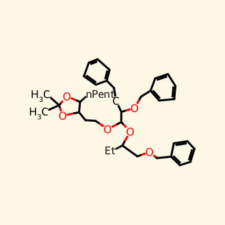 CCCCCC1OC(C)(C)OC1CCOC(OC(CC)COCc1ccccc1)C(CCc1ccccc1)OCc1ccccc1